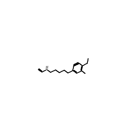 C=CNCCCCCc1c#cc(CC)c(C)c1